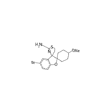 COC1CCC2(CC1)Oc1ccc(Br)cc1C21CCSC(N)=N1